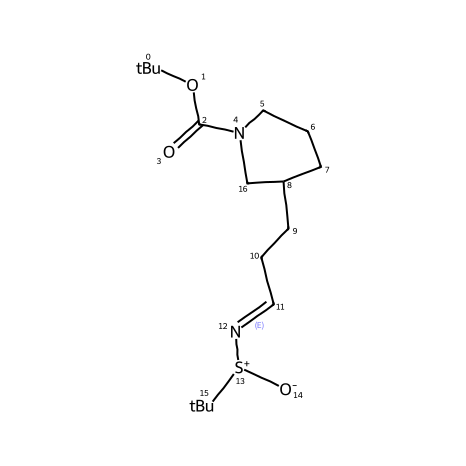 CC(C)(C)OC(=O)N1CCCC(CC/C=N/[S+]([O-])C(C)(C)C)C1